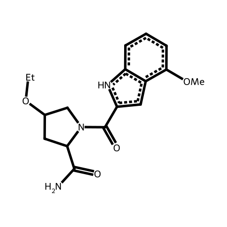 CCOC1CC(C(N)=O)N(C(=O)c2cc3c(OC)cccc3[nH]2)C1